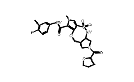 Cc1cc(NC(=O)c2c3c(cn2C)S(=O)(=O)NC2CN(C(=O)C4CCCO4)CC2CO3)ccc1F